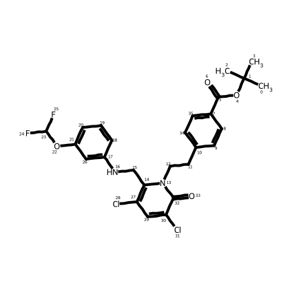 CC(C)(C)OC(=O)c1ccc(CCn2c(CNc3cccc(OC(F)F)c3)c(Cl)cc(Cl)c2=O)cc1